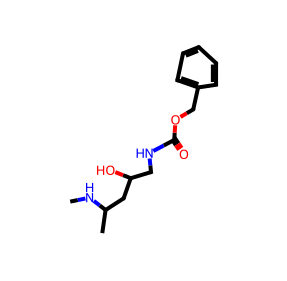 CNC(C)CC(O)CNC(=O)OCc1ccccc1